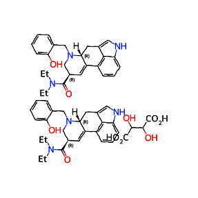 CCN(CC)C(=O)[C@@H]1C=C2c3cccc4[nH]cc(c34)C[C@H]2N(Cc2ccccc2O)C1.CCN(CC)C(=O)[C@@H]1C=C2c3cccc4[nH]cc(c34)C[C@H]2N(Cc2ccccc2O)C1.O=C(O)C(O)C(O)C(=O)O